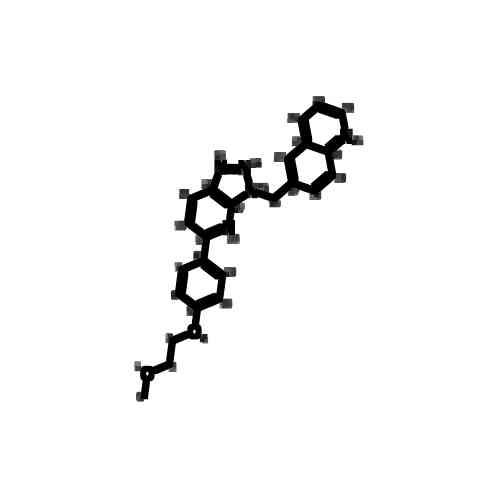 COCCOc1ccc(-c2ccc3nnn(Cc4ccc5ncccc5c4)c3n2)cc1